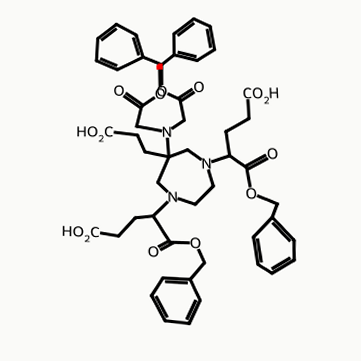 O=C(O)CCC(C(=O)OCc1ccccc1)N1CCN(C(CCC(=O)O)C(=O)OCc2ccccc2)CC(CCC(=O)O)(N(CC(=O)OCc2ccccc2)CC(=O)OCc2ccccc2)C1